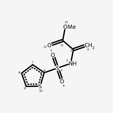 C=C(NS(=O)(=O)c1cccs1)C(=O)OC